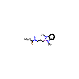 CNC(=S)NCCCP1N(C(C)C)c2ccccc2N1C(C)C